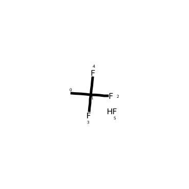 CC(F)(F)F.F